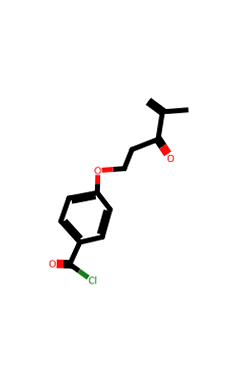 C=C(C)C(=O)CCOc1ccc(C(=O)Cl)cc1